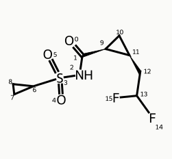 O=C(NS(=O)(=O)C1CC1)[C@H]1C[C@H]1CC(F)F